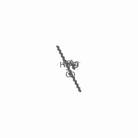 C=CC(N)=O.CCCCCCCCCCOC(=O)CCCCC(=O)OCCCCCCCCCC.[Ag]